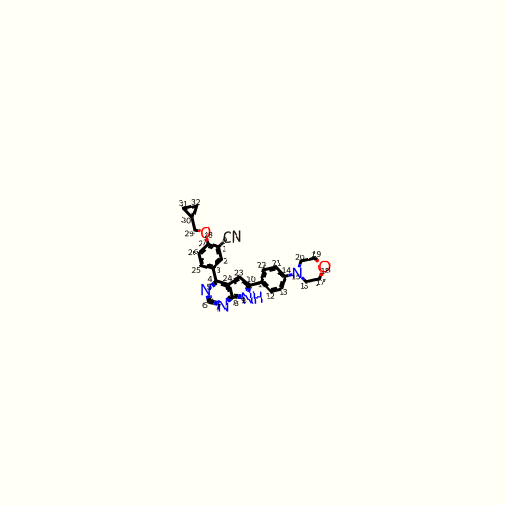 N#Cc1cc(-c2ncnc3[nH]c(-c4ccc(N5CCOCC5)cc4)cc23)ccc1OCC1CC1